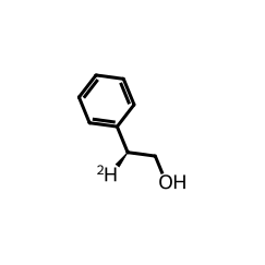 [2H][C@H](CO)c1ccccc1